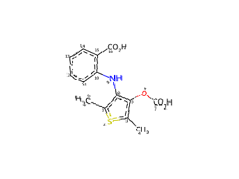 Cc1sc(C)c(OC(=O)O)c1Nc1ccccc1C(=O)O